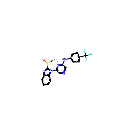 C[S+]([O-])c1nc2ccccc2n1-c1cncc(Nc2ccc(C(F)(F)F)cc2)n1